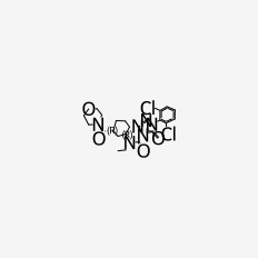 CCN(C(=O)n1nnn(-c2c(Cl)cccc2Cl)c1=O)[C@@H]1CCC[C@@H](C(=O)N2CCOCC2)C1